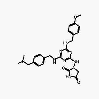 COc1ccc(CNc2nc(NCc3ccc(CN(C)C)cc3)nc(NN3CC(=O)NC3=O)n2)cc1